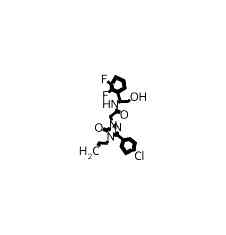 C=CCn1c(-c2ccc(Cl)cc2)nn(CC(=O)NC(CO)c2cccc(F)c2F)c1=O